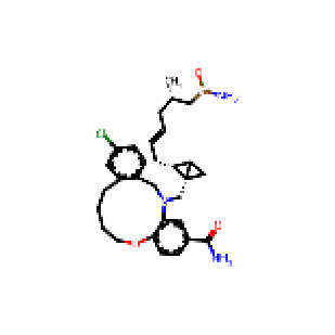 C[C@@H](C/C=C/C[C@@H]1C2C[C@]21CN1Cc2ccc(Cl)cc2CCCCOc2ccc(C(N)=O)cc21)C[S+](N)[O-]